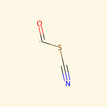 N#CS[C]=O